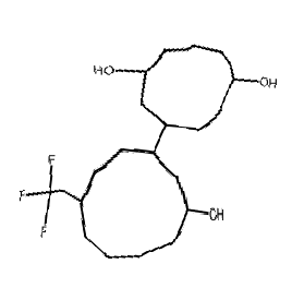 OC1CCCC(O)CC(C2CCC(C(F)(F)F)CCCCC(O)C2)CC1